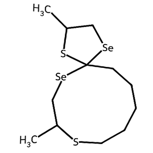 CC1C[Se]C2(CCCCCS1)SC(C)C[Se]2